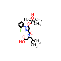 CCC(C)CC(CC(=O)O)NC(=O)c1cc(OC[C@@](C)(O)C(C)C)n(-c2ccccc2F)n1